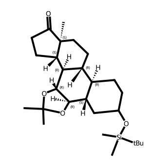 CC1(C)O[C@@H]2[C@H]3CC(O[Si](C)(C)C(C)(C)C)CC[C@@H]3[C@H]3CC[C@]4(C)C(=O)CC[C@H]4[C@@H]3[C@H]2O1